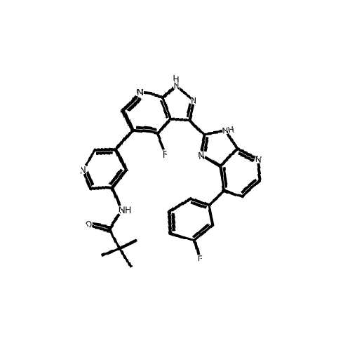 CC(C)(C)C(=O)Nc1cncc(-c2cnc3[nH]nc(-c4nc5c(-c6cccc(F)c6)ccnc5[nH]4)c3c2F)c1